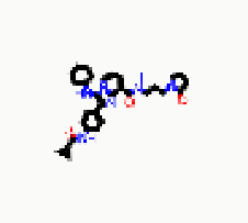 O=C(NCCCN1CCCC1=O)c1cccn2c(NC3CCCCC3)c(-c3ccc(NC(=O)C4CC4)cc3)nc12